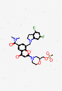 CN(C)C(=O)c1cc(CN2CCc3c(F)cc(F)cc32)c2oc(N3CCOC(COS(C)(=O)=O)C3)cc(=O)c2c1